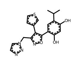 CC(C)c1cc(-c2onc(Cn3ccnn3)c2-c2ccsc2)c(O)cc1O